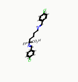 CC[C@@](CCCCN=Cc1ccc(Cl)cc1)(N=Cc1ccc(Cl)cc1)C(=O)O